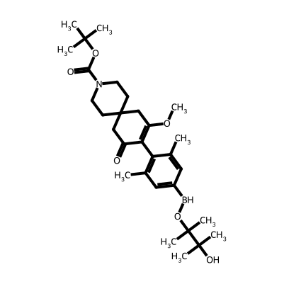 COC1=C(c2c(C)cc(BOC(C)(C)C(C)(C)O)cc2C)C(=O)CC2(CCN(C(=O)OC(C)(C)C)CC2)C1